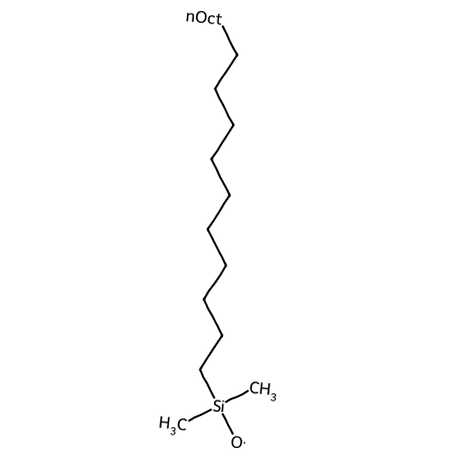 CCCCCCCCCCCCCCCCCC[Si](C)(C)[O]